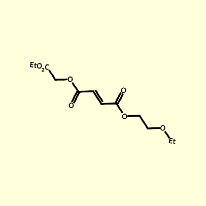 CCOCCOC(=O)/C=C/C(=O)OCC(=O)OCC